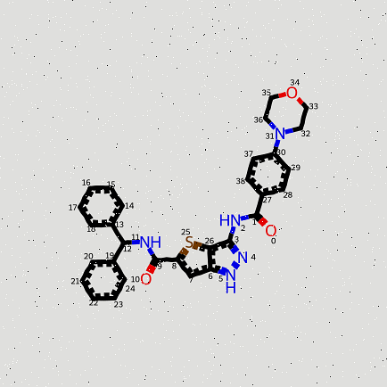 O=C(Nc1n[nH]c2cc(C(=O)NC(c3ccccc3)c3ccccc3)sc12)c1ccc(N2CCOCC2)cc1